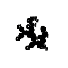 CS(=O)(=O)N(c1cccc(C(=O)NCC(=O)N2CCOCC2)c1)C1CN(C(c2ccc(Cl)cc2)c2ccc(Cl)cc2)C1.CS(=O)(=O)N(c1cccc(C(=O)NCCC(N)=O)c1)C1CN(C(c2ccc(Cl)cc2)c2ccc(Cl)cc2)C1